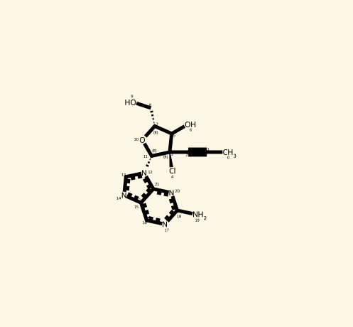 CC#C[C@@]1(Cl)C(O)[C@@H](CO)O[C@H]1n1cnc2cnc(N)nc21